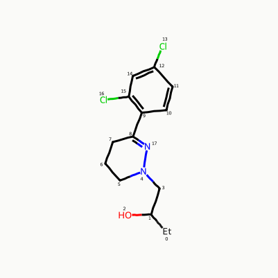 CCC(O)CN1CCCC(c2ccc(Cl)cc2Cl)=N1